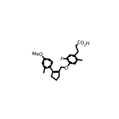 COc1ccc(C2=C(COc3cc(C)c(CCC(=O)O)cc3F)CCC2)c(C)c1